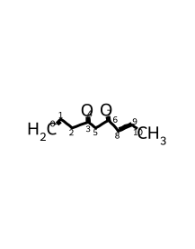 C=CCC(=O)CC(=O)C=CC